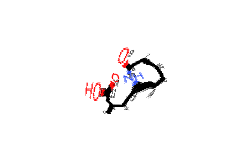 C=C(CC1CCCCC(=O)N1)C(=O)O